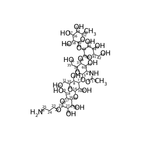 CC(=O)NC1C(OC2C(O)C(CO)OC(OC3C(CO)OC(OCCCN)C(O)C3O)C2O)OC(CO)C(OC2OC(CO)C(O)C(O)C2OC2OC(C)C(O)C(O)C2O)C1O